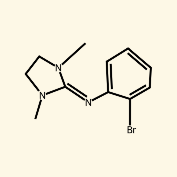 CN1CCN(C)C1=Nc1ccccc1Br